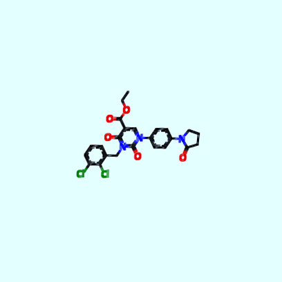 CCOC(=O)c1cn(-c2ccc(N3CCCC3=O)cc2)c(=O)n(Cc2cccc(Cl)c2Cl)c1=O